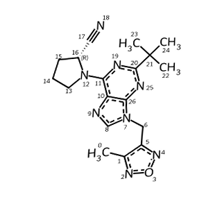 Cc1nonc1Cn1cnc2c(N3CCC[C@@H]3C#N)nc(C(C)(C)C)nc21